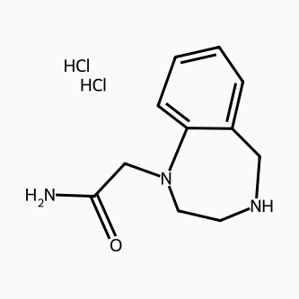 Cl.Cl.NC(=O)CN1CCNCc2ccccc21